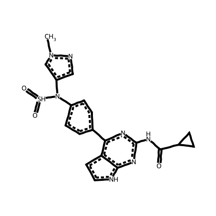 Cn1cc(N(c2ccc(-c3nc(NC(=O)C4CC4)nc4[nH]ccc34)cc2)[SH](=O)=O)cn1